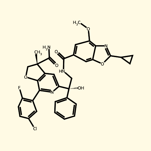 COc1cc(C(=O)NC[C@@](O)(c2ccccc2)c2cc3c(c(-c4cc(Cl)ccc4F)n2)OC[C@]3(C)C(N)=O)cc2oc(C3CC3)nc12